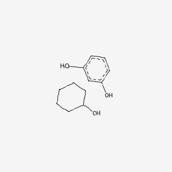 OC1CCCCC1.Oc1cccc(O)c1